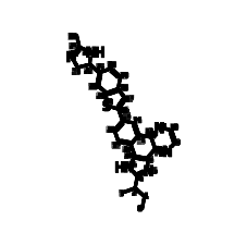 CCC(C)c1nc2c3nccnc3c3cc(-c4cc5ccc(C6CN=C(C)N6)cc5s4)ccc3c2[nH]1